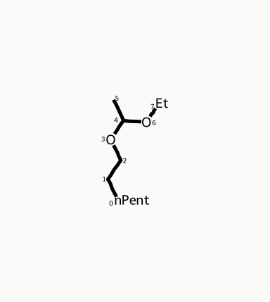 CCCCCCCOC(C)OCC